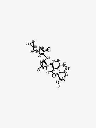 CCc1ncc(Br)cc1OC(C)c1cc(F)ccc1-c1oc(C)nc1Cc1cn(CC2CC2)nc1Cl